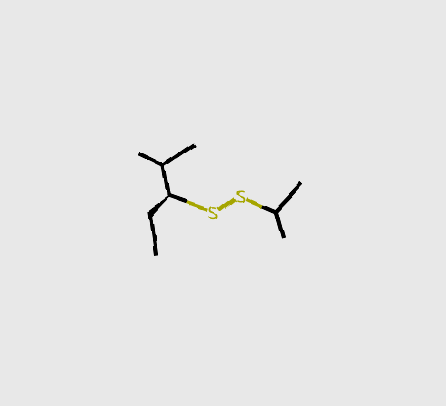 CC[C@H](SSC(C)C)C(C)C